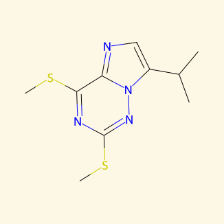 CSc1nc(SC)c2ncc(C(C)C)n2n1